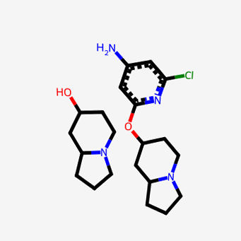 Nc1cc(Cl)nc(OC2CCN3CCCC3C2)c1.OC1CCN2CCCC2C1